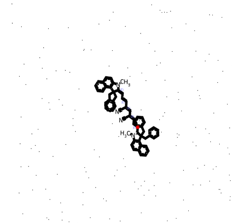 CN1/C(=C/C=C/C(C#N)=C/C(C#N)=C/C=C/C2=[N+](C)c3ccc4ccccc4c3C2(Cc2ccccc2)Cc2ccccc2)C(Cc2ccccc2)(Cc2ccccc2)c2c1ccc1ccccc21